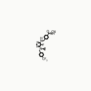 N#CNC(=O)c1ccc(CNc2ncnc(N(Cc3ccc(C(F)(F)F)cc3)C3CC3)c2F)cc1